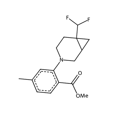 COC(=O)c1ccc(C)cc1N1CCC2(C(F)F)CC2C1